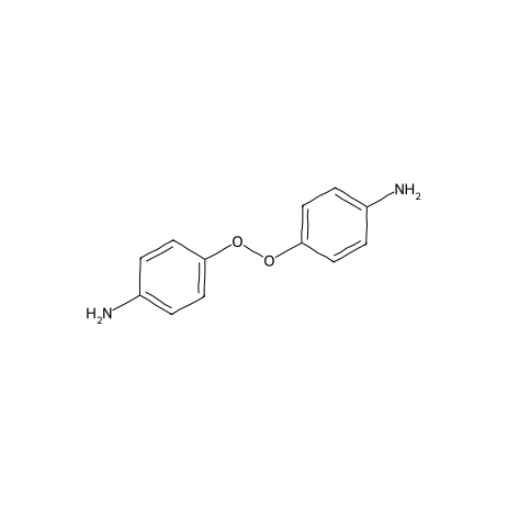 Nc1ccc(OOc2ccc(N)cc2)cc1